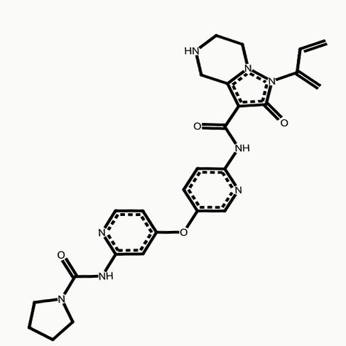 C=CC(=C)n1c(=O)c(C(=O)Nc2ccc(Oc3ccnc(NC(=O)N4CCCC4)c3)cn2)c2n1CCNC2